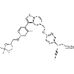 CC#CC(CC(=O)OCC)c1ccc(OCc2ccc3scc(-c4ccc(OCC5COC(C)(C)O5)cc4C)c3c2)nc1